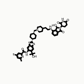 Cc1cc(F)cc(C(=O)Nc2cc3sc([C@H]4CC[C@H](CN5CCC(CCNc6cccc7c6C(O)N(C6CCC(=O)NC6=O)C7=O)CC5)CC4)nc3cc2C(C)(C)O)n1